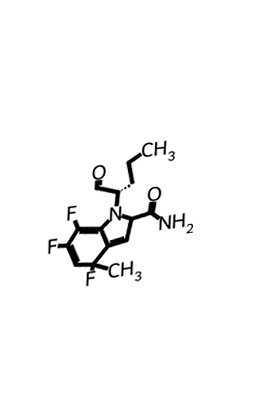 CCC[C@@H](C=O)N1C2=C(F)C(F)=CC(C)(F)C2=CC1C(N)=O